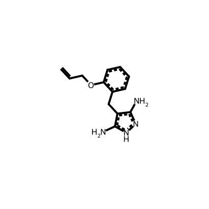 C=CCOc1ccccc1Cc1c(N)n[nH]c1N